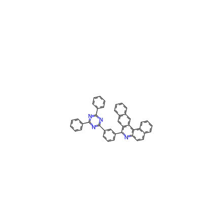 c1ccc(-c2nc(-c3ccccc3)nc(-c3cccc(-c4nc5ccc6ccccc6c5c5cc6ccccc6cc45)c3)n2)cc1